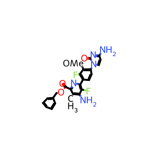 COc1c(-n2ccc(N)nc2=O)ccc(-c2nc(C(=O)OCc3ccccc3)c(C)c(N)c2F)c1F